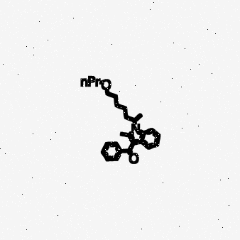 CCCOCCCCCC(C)n1c(C)c(C(=O)c2ccccc2)c2ccccc21